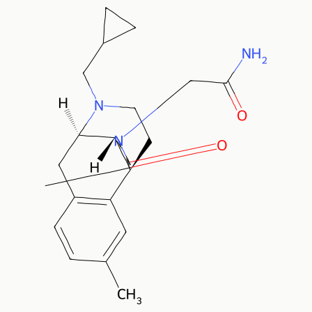 Cc1ccc2c(c1)[C@]13CCN(CC4CC4)[C@H](C2)[C@@H]1CN(CC(N)=O)C(=O)C3